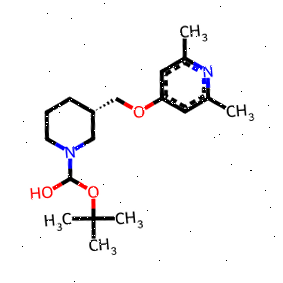 Cc1cc(OC[C@H]2CCCN(C(O)OC(C)(C)C)C2)cc(C)n1